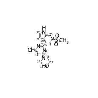 CS(=O)(=O)c1cc(-c2nc(Cl)cc(N3CCOCC3)n2)c2cc[nH]c2c1